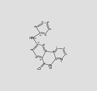 O=c1[nH]c2ncccc2c2cc(Nc3ccccc3)ccc12